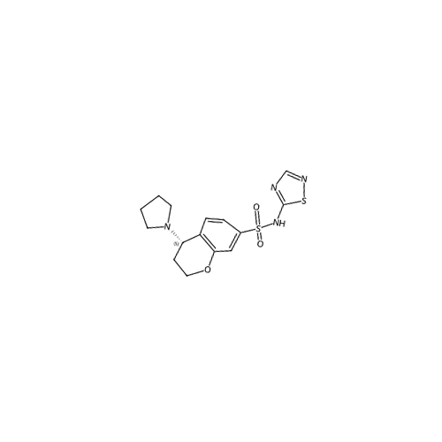 O=S(=O)(Nc1ncns1)c1ccc2c(c1)OCC[C@@H]2N1CCCC1